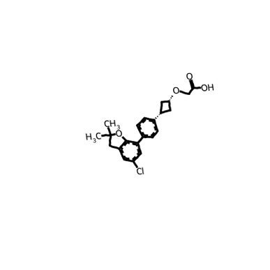 CC1(C)Cc2cc(Cl)cc(-c3ccc([C@H]4C[C@@H](OCC(=O)O)C4)cc3)c2O1